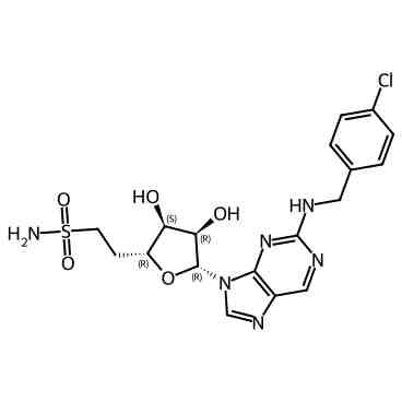 NS(=O)(=O)CC[C@H]1O[C@@H](n2cnc3cnc(NCc4ccc(Cl)cc4)nc32)[C@H](O)[C@@H]1O